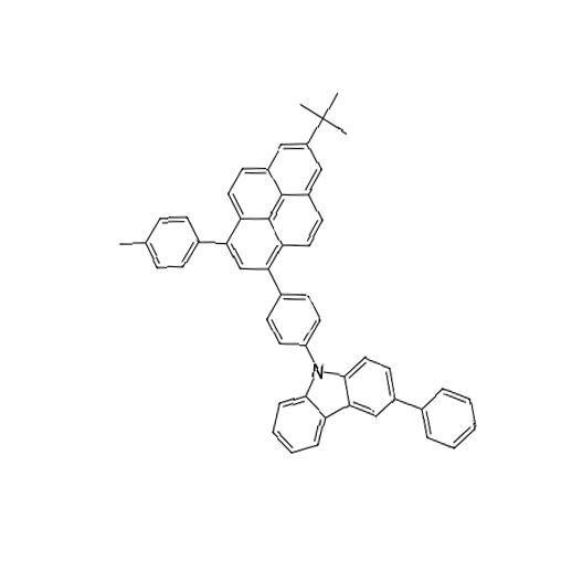 Cc1ccc(-c2cc(-c3ccc(-n4c5ccccc5c5cc(-c6ccccc6)ccc54)cc3)c3ccc4cc(C(C)(C)C)cc5ccc2c3c54)cc1